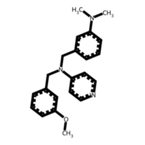 COc1cccc(CN(Cc2cccc(N(C)C)c2)c2ccncc2)c1